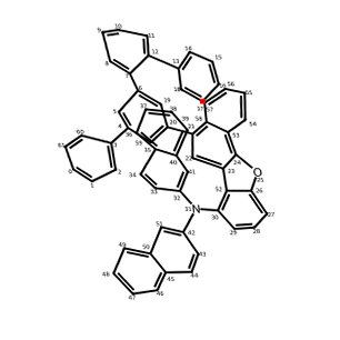 c1ccc(-c2cc(-c3ccccc3-c3ccccc3)cc(-c3cc4c(oc5cccc(N(c6ccc7ccccc7c6)c6ccc7ccccc7c6)c54)c4ccccc34)c2)cc1